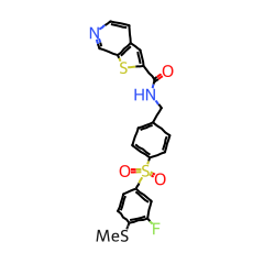 CSc1ccc(S(=O)(=O)c2ccc(CNC(=O)c3cc4ccncc4s3)cc2)cc1F